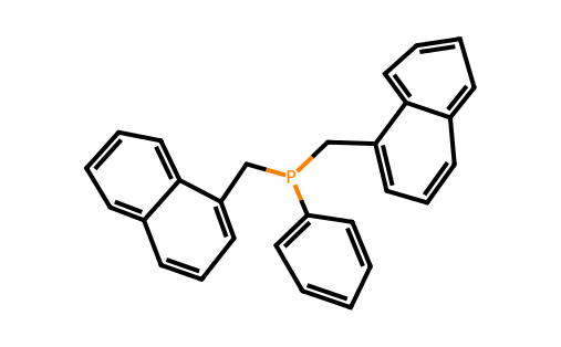 c1ccc(P(Cc2cccc3ccccc23)Cc2cccc3ccccc23)cc1